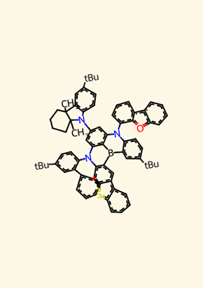 CC(C)(C)c1ccc2c(c1)B1c3cc4c(cc3N(c3ccc(C(C)(C)C)cc3-c3ccccc3)c3cc(N5c6ccc(C(C)(C)C)cc6C6(C)CCCCC56C)cc(c31)N2c1cccc2c1oc1ccccc12)sc1ccccc14